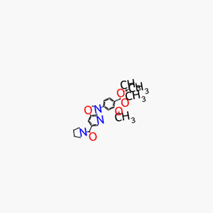 COc1cc(N2COc3cc(C(=O)N4CCCC4)cnc32)ccc1C(=O)OC(C)(C)C